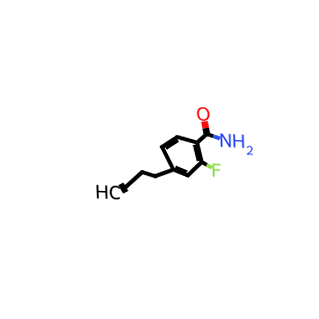 C#CCCc1ccc(C(N)=O)c(F)c1